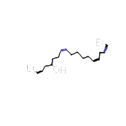 CC/C=C\C/C=C\CCCC/C=C\CC[C@H](O)C/C=C\CC